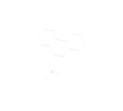 NC(=O)Cc1cc2ccccc2c2ccccc12